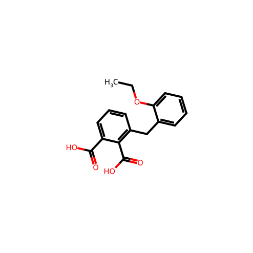 CCOc1ccccc1Cc1cccc(C(=O)O)c1C(=O)O